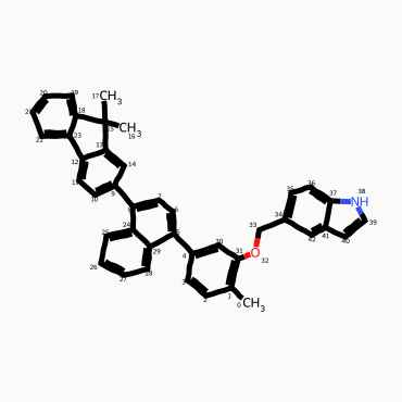 Cc1ccc(-c2ccc(-c3ccc4c(c3)C(C)(C)c3ccccc3-4)c3ccccc23)cc1OCc1ccc2[nH]ccc2c1